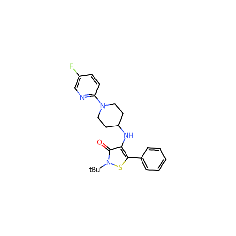 CC(C)(C)n1sc(-c2ccccc2)c(NC2CCN(c3ccc(F)cn3)CC2)c1=O